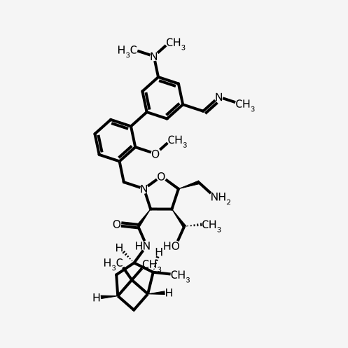 C/N=C/c1cc(-c2cccc(CN3O[C@@H](CN)[C@@H]([C@H](C)O)[C@H]3C(=O)N[C@@H]3C[C@H]4C[C@@H]([C@@H]3C)C4(C)C)c2OC)cc(N(C)C)c1